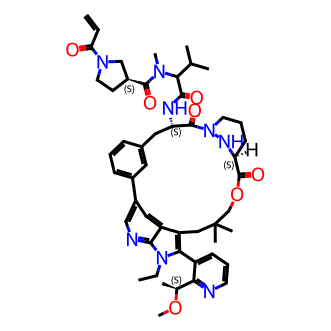 C=CC(=O)N1CC[C@H](C(=O)N(C)C(C(=O)N[C@H]2Cc3cccc(c3)-c3cnc4c(c3)c(c(-c3cccnc3[C@H](C)OC)n4CC)CC(C)(C)COC(=O)[C@@H]3CCCN(N3)C2=O)C(C)C)C1